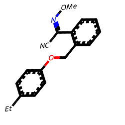 CCc1ccc(OCc2ccccc2/C(C#N)=N\OC)cc1